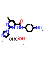 Cc1cc(C(=O)NC2CCC(N)CC2)nc(-n2ccnc2)n1.O=CO